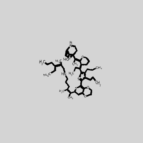 CCC/C(CC)=C(\C)CNCCC/C(C)=C(/C)C1C=C2OCCOC2=C(c2sc(/C(CC)=C3\CCCO\C3=C(\C)C34CCNC(=CS3)C4O)c(CCC)c2CCC)S1